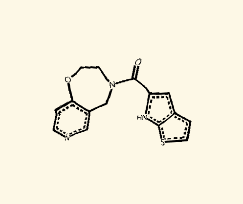 O=C(c1cc2ccsc2[nH]1)N1CCOc2ccncc2C1